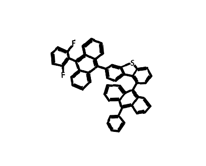 Fc1cccc(F)c1-c1c2ccccc2c(-c2ccc3c(c2)sc2cccc(-c4c5ccccc5c(-c5ccccc5)c5ccccc45)c23)c2ccccc12